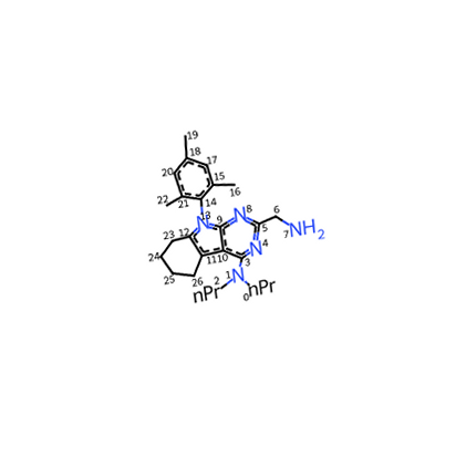 CCCN(CCC)c1nc(CN)nc2c1c1c(n2-c2c(C)cc(C)cc2C)CCCC1